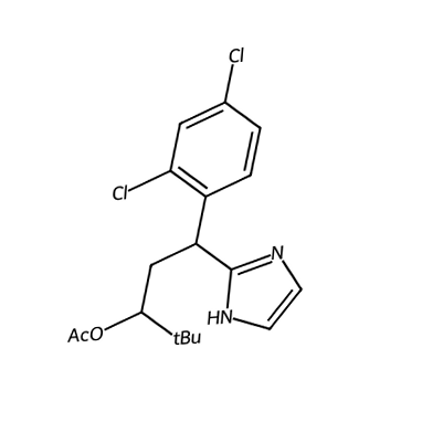 CC(=O)OC(CC(c1ncc[nH]1)c1ccc(Cl)cc1Cl)C(C)(C)C